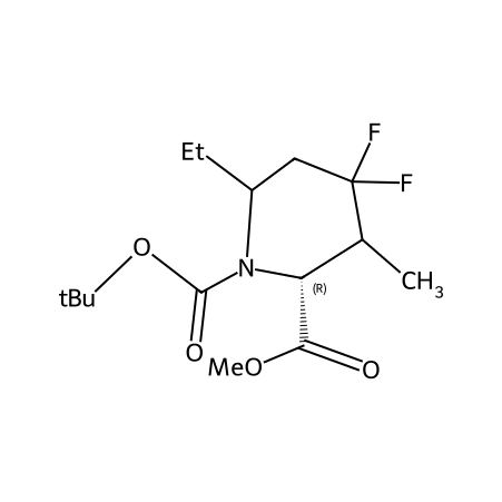 CCC1CC(F)(F)C(C)[C@H](C(=O)OC)N1C(=O)OC(C)(C)C